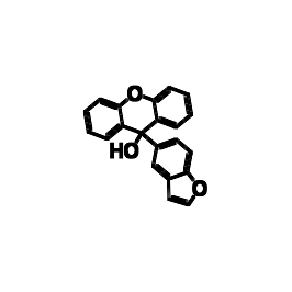 OC1(c2ccc3occc3c2)c2ccccc2Oc2ccccc21